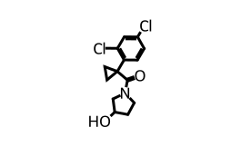 O=C(N1CCC(O)C1)C1(c2ccc(Cl)cc2Cl)CC1